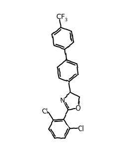 FC(F)(F)c1ccc(-c2ccc(C3COC(c4c(Cl)cccc4Cl)=N3)cc2)cc1